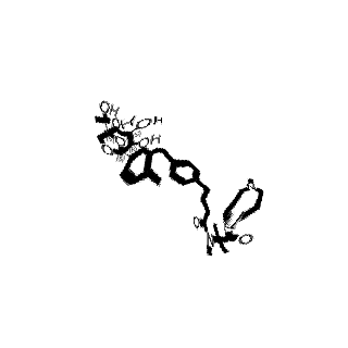 Cc1ccc([C@]23OC[C@](C(C)(C)O)(O2)[C@@H](O)[C@H](O)[C@H]3O)cc1Cc1ccc(CCCC(=O)N(C)C(C)(C)C(=O)N2CCN(C)CC2)cc1